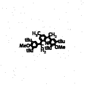 C=C(c1cc(C(C)(C)C)c(OC)c(C(C)(C)C)c1)c1cc(C)cc(C(=C)c2cc(C(C)(C)C)c(OC)c(C(C)(C)C)c2)c1N